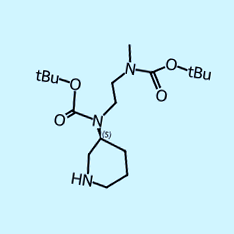 CN(CCN(C(=O)OC(C)(C)C)[C@H]1CCCNC1)C(=O)OC(C)(C)C